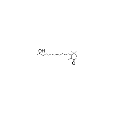 CC1=C(CCCCCCCCCCC(C)O)C(C)(C)CCC1=O